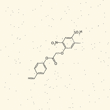 C=Cc1ccc(OC(=O)COc2cc(C)c(S(=O)(=O)O)cc2[N+](=O)[O-])cc1